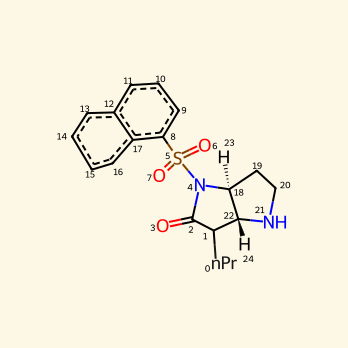 CCCC1C(=O)N(S(=O)(=O)c2cccc3ccccc23)[C@H]2CCN[C@H]12